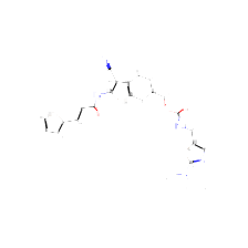 CN(C)c1ncc(CNC(=O)OCC2CCc3c(sc(NC(=O)C=Cc4cccs4)c3C#N)C2)s1